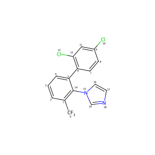 FC(F)(F)c1cccc(-c2ccc(Cl)cc2Cl)c1-n1ccnc1